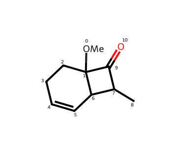 COC12CCC=CC1C(C)C2=O